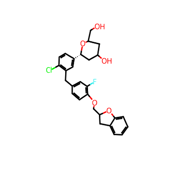 OCC1CC(O)C[C@H](c2ccc(Cl)c(Cc3ccc(OCC4Cc5ccccc5O4)c(F)c3)c2)O1